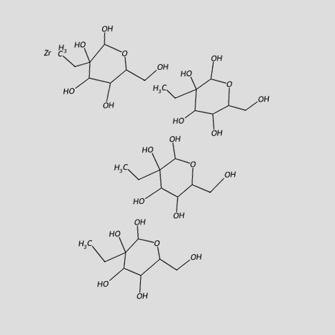 CCC1(O)C(O)OC(CO)C(O)C1O.CCC1(O)C(O)OC(CO)C(O)C1O.CCC1(O)C(O)OC(CO)C(O)C1O.CCC1(O)C(O)OC(CO)C(O)C1O.[Zr]